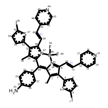 CC1=C(c2ccc(I)s2)C(/C=C/c2ccncc2)=[N+]2C1=C(c1ccc(N)cc1)c1c(C)c(-c3ccc(I)s3)c(/C=C/c3ccncc3)n1[B-]2(F)F